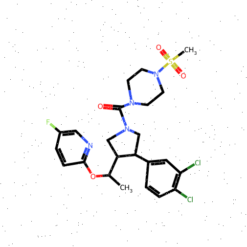 CC(Oc1ccc(F)cn1)C1CN(C(=O)N2CCN(S(C)(=O)=O)CC2)CC1c1ccc(Cl)c(Cl)c1